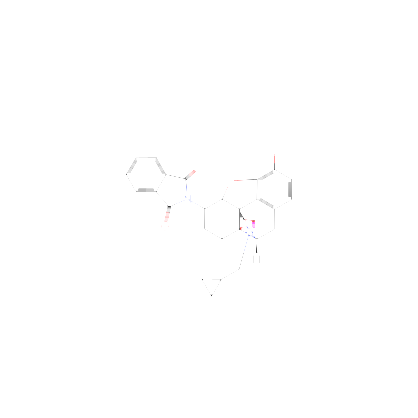 Cl.O=C1c2ccccc2C(=O)N1C1CC[C@@]2(O)[C@H]3Cc4ccc(O)c5c4[C@@]2(CCN3CC2CC2)C1O5